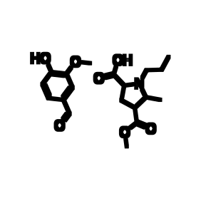 CCCN1C(C(=O)O)CC(C(=O)OC)C1C.COc1cc(C=O)ccc1O